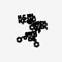 CC(C)C(NC(=O)[C@]1(C(=O)c2ccc(C(=O)N[C@H](C(=O)OCc3ccccc3)C(C)C(=O)OCc3ccccc3)cc2)CCCN1C(=O)[C@@H](N)C(C)C)C(=O)C(F)(F)F